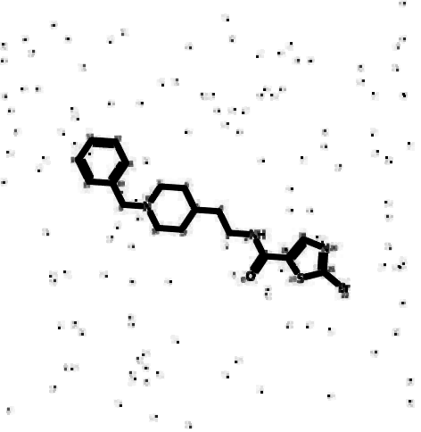 O=C(NCCC1CCN(Cc2ccccc2)CC1)c1cnc(Br)s1